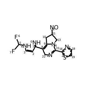 N=C(/C=C\NC(F)F)C1=C2CC(N=O)CN2C(c2nccs2)=NC1